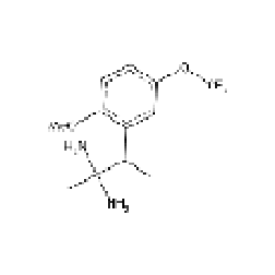 COc1ccc(OC(F)(F)F)cc1C(C)C(C)(N)N